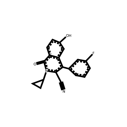 N#Cc1c(-c2cccc(F)c2)c2cc(O)ccc2c(=O)n1C1CC1